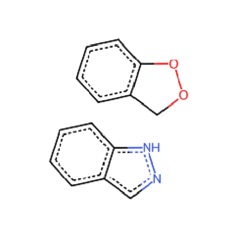 c1ccc2[nH]ncc2c1.c1ccc2c(c1)COO2